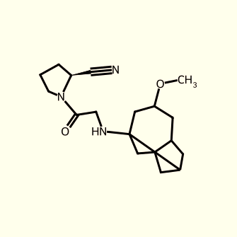 COC1CC2CC3CC2CC3(NCC(=O)N2CCC[C@H]2C#N)C1